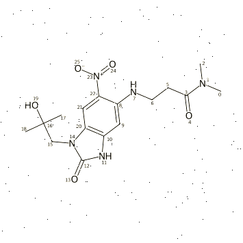 CN(C)C(=O)CCNc1cc2[nH]c(=O)n(CC(C)(C)O)c2cc1[N+](=O)[O-]